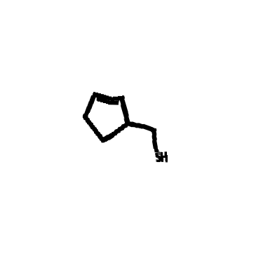 SCC1C=CCC1